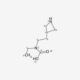 CCN(CCC1CNC1)C(=O)O